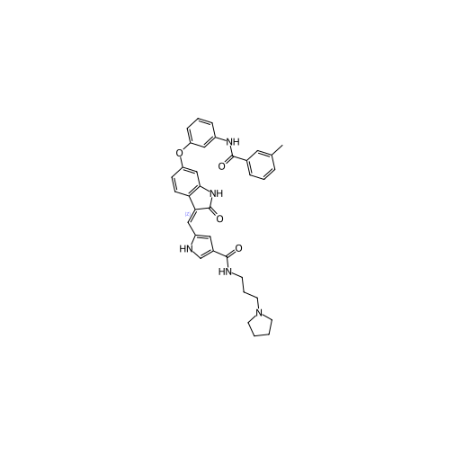 Cc1cccc(C(=O)Nc2cccc(Oc3ccc4c(c3)NC(=O)/C4=C\c3cc(C(=O)NCCCN4CCCC4)c[nH]3)c2)c1